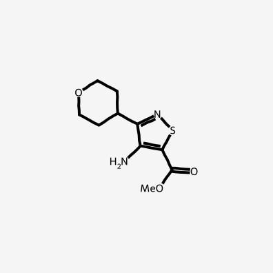 COC(=O)c1snc(C2CCOCC2)c1N